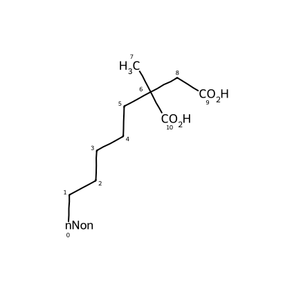 CCCCCCCCCCCCCCC(C)(CC(=O)O)C(=O)O